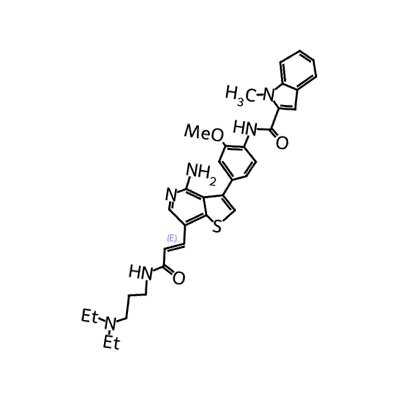 CCN(CC)CCCNC(=O)/C=C/c1cnc(N)c2c(-c3ccc(NC(=O)c4cc5ccccc5n4C)c(OC)c3)csc12